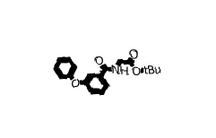 CC(C)(C)OC(=O)CNC(=O)c1cccc(Oc2ccccc2)c1